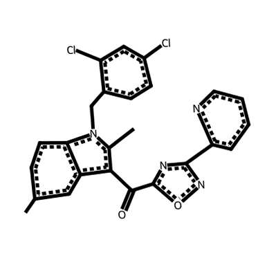 Cc1ccc2c(c1)c(C(=O)c1nc(-c3ccccn3)no1)c(C)n2Cc1ccc(Cl)cc1Cl